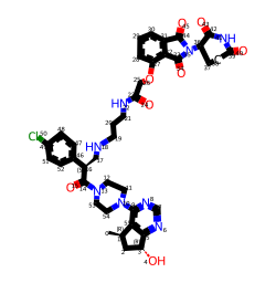 C[C@@H]1C[C@@H](O)c2ncnc(N3CCN(C(=O)[C@H](CNCCCNC(=O)COc4cccc5c4C(=O)N(C4CCC(=O)NC4=O)C5=O)c4ccc(Cl)cc4)CC3)c21